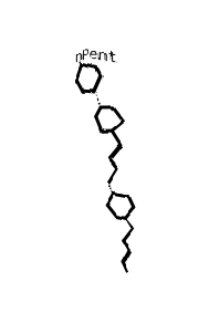 C/C=C/CC[C@H]1CC[C@H](CC/C=C/C2CCC([C@H]3CC[C@H](CCCCC)CC3)CC2)CC1